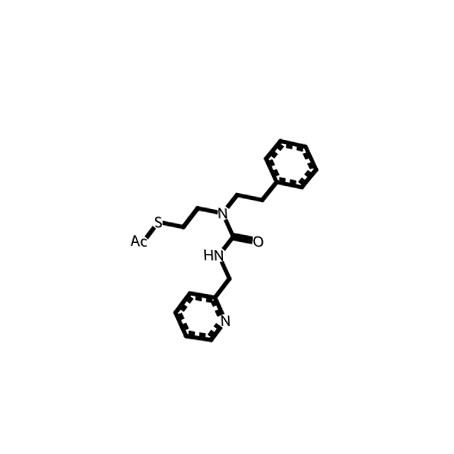 CC(=O)SCCN(CCc1ccccc1)C(=O)NCc1ccccn1